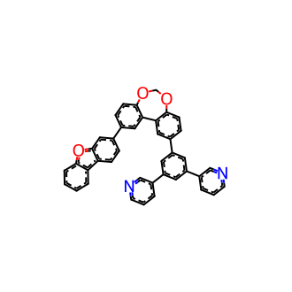 c1cncc(-c2cc(-c3cccnc3)cc(-c3ccc4c(c3)-c3cc(-c5ccc6c(c5)oc5ccccc56)ccc3OCO4)c2)c1